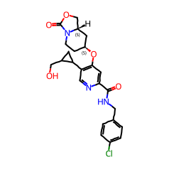 O=C(NCc1ccc(Cl)cc1)c1cc(O[C@H]2CCN3C(=O)OC[C@@H]3C2)c(C2CC2CO)cn1